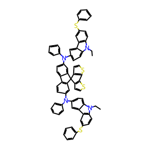 CCn1c2ccc(Sc3ccccc3)cc2c2cc(N(c3ccccc3)c3ccc4c(c3)C3(c5cc(N(c6ccccc6)c6ccc7c(c6)c6cc(Sc8ccccc8)ccc6n7CC)ccc5-4)c4ccsc4-c4sccc43)ccc21